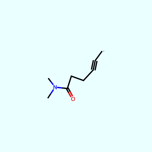 [CH2]C#CCCC(=O)N(C)C